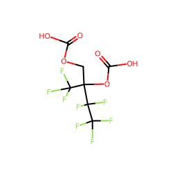 O=C(O)OCC(OC(=O)O)(C(F)(F)F)C(F)(F)C(F)(F)F